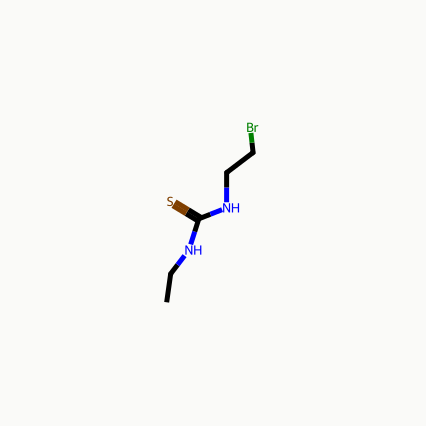 CCNC(=S)NCCBr